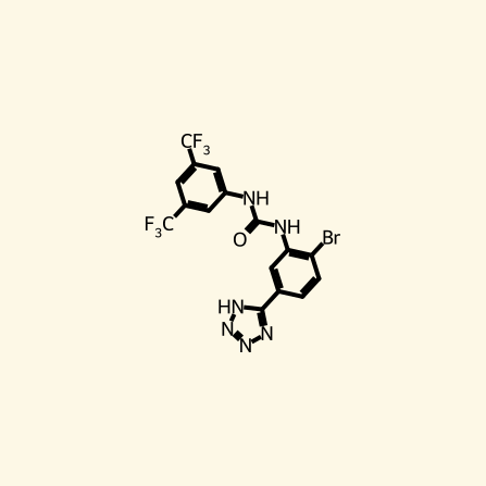 O=C(Nc1cc(C(F)(F)F)cc(C(F)(F)F)c1)Nc1cc(-c2nnn[nH]2)ccc1Br